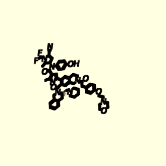 Cc1c(C(=O)N(c2ccc(O)cc2)C2CC(C#N)N(C(F)F)C2C)cc(-c2cc3c(cc2C(=O)N2Cc4ccccc4C[C@H]2CN2CCCCC2)CN(C(=O)Cc2ccc(OCCN4CCOCC4)cc2)CC3)n1C